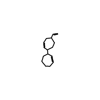 C=CC1CC=CC(C2C=CCCCC2)CC1